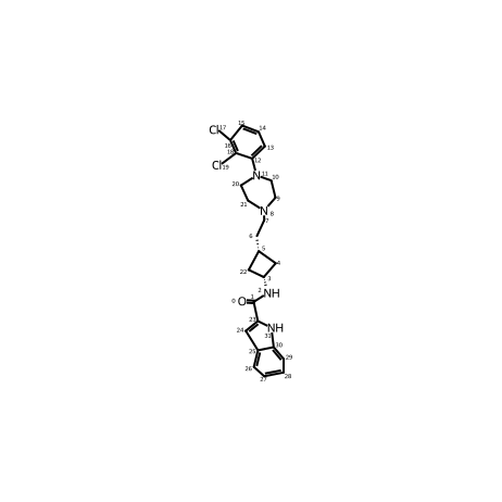 O=C(N[C@H]1C[C@@H](CCN2CCN(c3cccc(Cl)c3Cl)CC2)C1)c1cc2ccccc2[nH]1